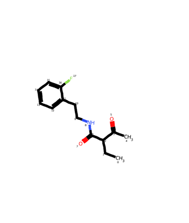 CCC(C(C)=O)C(=O)NCCc1ccccc1F